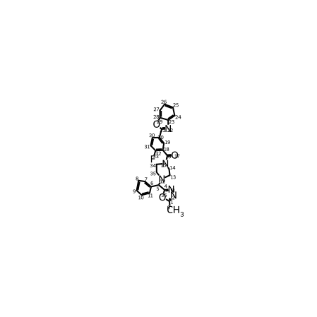 Cc1nnc(C(c2ccccc2)N2CCN(C(=O)c3cc(-c4nc5ccccc5o4)ccc3F)CC2)o1